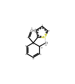 C=CC1(c2cccs2)C=CC=CC1CC